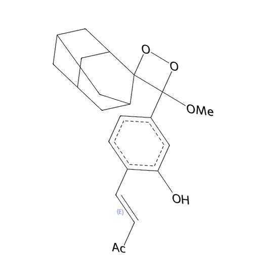 COC1(c2ccc(/C=C/C(C)=O)c(O)c2)OOC12C1CC3CC(C1)CC2C3